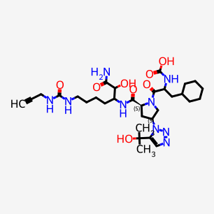 C#CCNC(=O)NCCCCC(NC(=O)[C@@H]1C[C@H](n2nncc2C(C)(C)O)CN1C(=O)C(CC1CCCCC1)NC(=O)O)C(O)C(N)=O